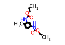 CCCOC(=O)Nc1ccc(C)c(NC(=O)OCCC)c1